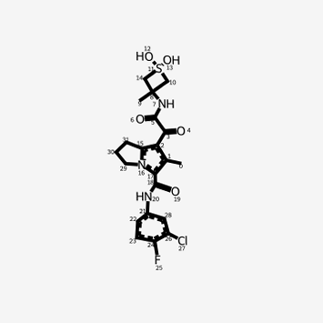 Cc1c(C(=O)C(=O)NC2(C)CS(O)(O)C2)c2n(c1C(=O)Nc1ccc(F)c(Cl)c1)CCC2